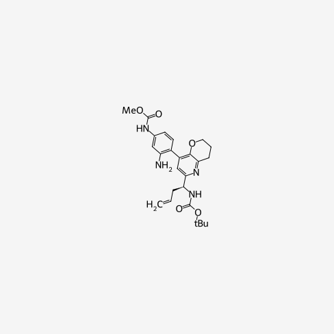 C=CC[C@H](NC(=O)OC(C)(C)C)c1cc(-c2ccc(NC(=O)OC)cc2N)c2c(n1)CCCO2